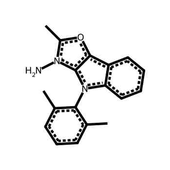 Cc1cccc(C)c1-n1c2ccccc2c2oc(C)[n+](N)c21